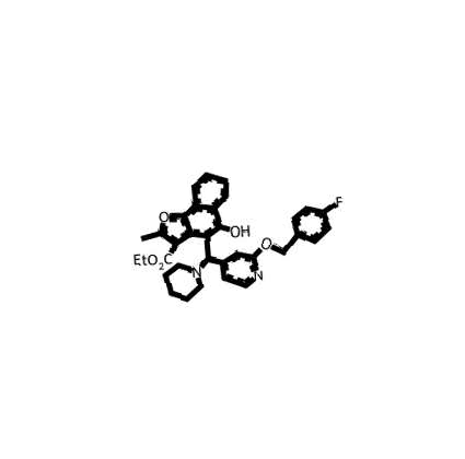 CCOC(=O)c1c(C)oc2c1c(C(c1ccnc(OCc3ccc(F)cc3)c1)N1CCCCC1)c(O)c1ccccc12